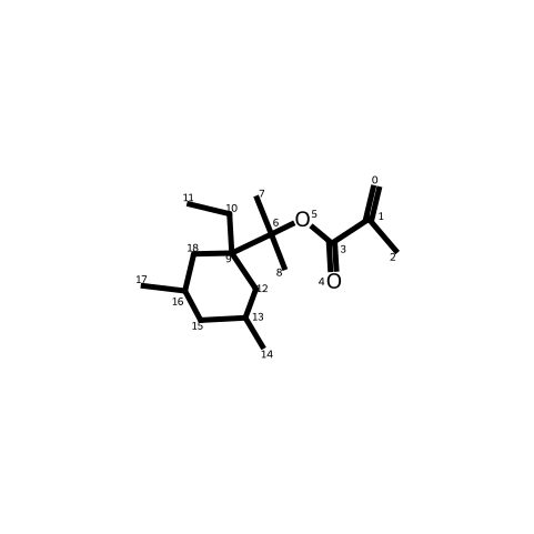 C=C(C)C(=O)OC(C)(C)C1(CC)CC(C)CC(C)C1